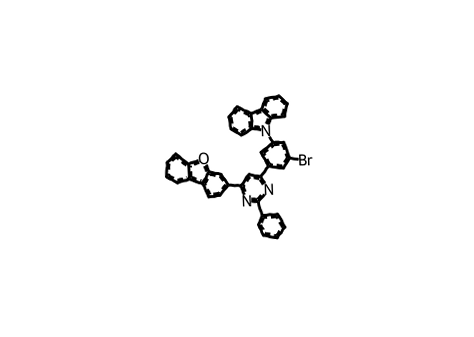 Brc1cc(-c2cc(-c3ccc4c(c3)oc3ccccc34)nc(-c3ccccc3)n2)cc(-n2c3ccccc3c3ccccc32)c1